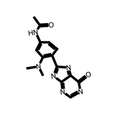 CC(=O)Nc1ccc(C2=NC3=NC=NC(=O)C3=N2)c(N(C)C)c1